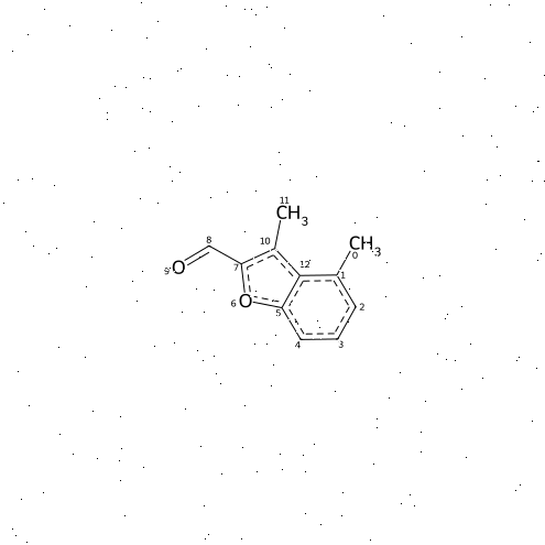 Cc1cccc2oc(C=O)c(C)c12